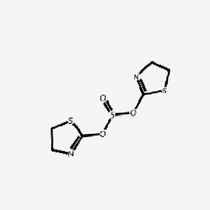 O=S(OC1=NCCS1)OC1=NCCS1